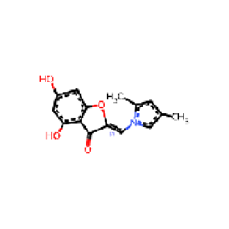 Cc1cc(C)n(/C=C2\Oc3cc(O)cc(O)c3C2=O)c1